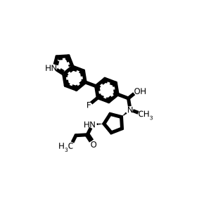 CCC(=O)N[C@H]1CC[C@@H](N(C)C(O)c2ccc(-c3ccc4[nH]ccc4c3)c(F)c2)C1